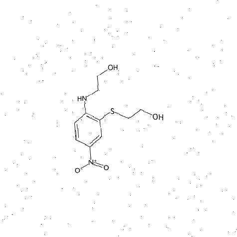 O=[N+]([O-])c1ccc(NCCO)c(SCCO)c1